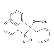 COC(c1ccccc1)(c1ccccc1)C1(c2ccccc2)CO1